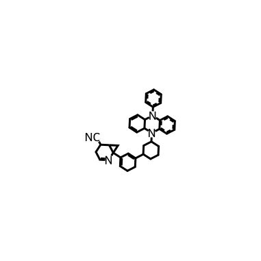 N#CC1CC=NC2(C3=CCCC(C4CCCC(N5c6ccccc6N(c6ccccc6)C6C=CC=CC65)C4)=C3)CC12